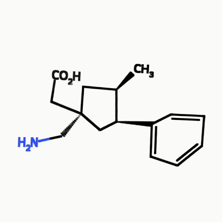 C[C@@H]1C[C@](CN)(CC(=O)O)C[C@@H]1c1ccccc1